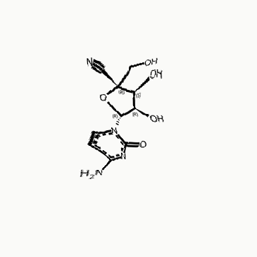 N#C[C@]1(CO)O[C@@H](n2ccc(N)nc2=O)[C@H](O)[C@@H]1O